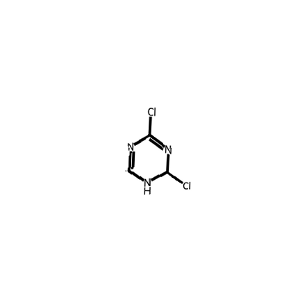 ClC1=NC(Cl)N[C]=N1